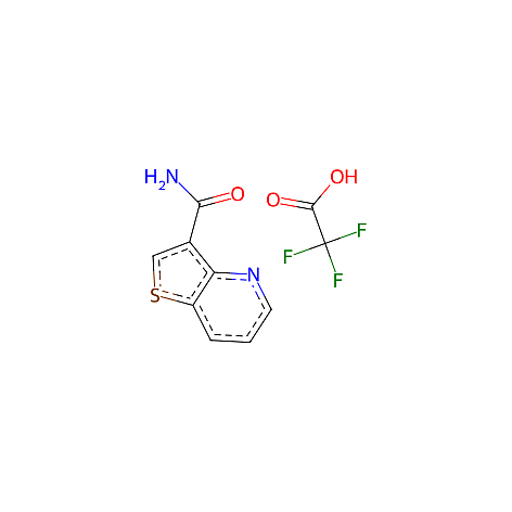 NC(=O)c1csc2cccnc12.O=C(O)C(F)(F)F